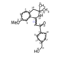 COc1ccc2c(c1)/C(=C/C(=O)c1ccc(CO)cc1)NC(C)(C)C2